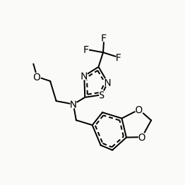 COCCN(Cc1ccc2c(c1)OCO2)c1nc(C(F)(F)F)ns1